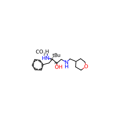 CC(C)(C)[C@](Cc1ccccc1)(NC(=O)O)[C@H](O)CNCC1CCOCC1